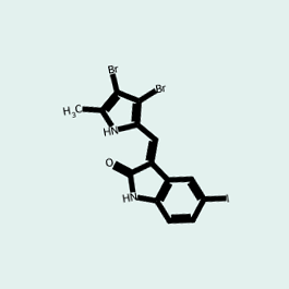 Cc1[nH]c(C=C2C(=O)Nc3ccc(I)cc32)c(Br)c1Br